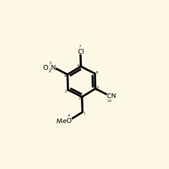 COCc1cc([N+](=O)[O-])c(Cl)cc1C#N